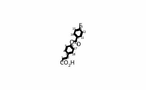 O=C(O)C=Cc1ccc(OC(=O)c2ccc(F)cc2)cc1